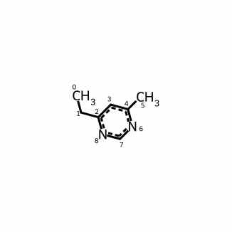 CCc1cc(C)ncn1